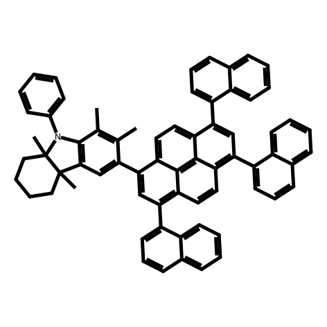 Cc1c(-c2cc(-c3cccc4ccccc34)c3ccc4c(-c5cccc6ccccc56)cc(-c5cccc6ccccc56)c5ccc2c3c54)cc2c(c1C)N(c1ccccc1)C1(C)CCCCC21C